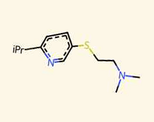 CC(C)c1ccc(SCCN(C)C)cn1